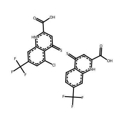 O=C(O)c1cc(=S)c2c(Cl)cc(C(F)(F)F)cc2[nH]1.O=C(O)c1cc(=S)c2ccc(C(F)(F)F)cc2[nH]1